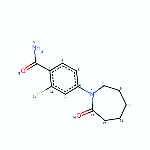 NC(=O)c1ccc(N2CCCCCC2=O)cc1F